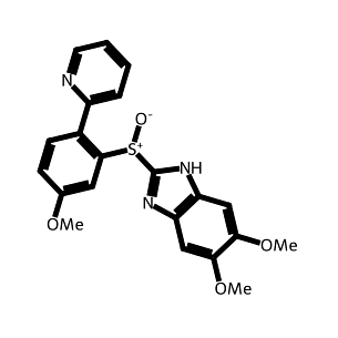 COc1ccc(-c2ccccn2)c([S+]([O-])c2nc3cc(OC)c(OC)cc3[nH]2)c1